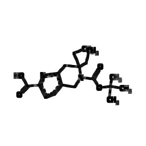 CCC1(CC)Cc2nc(C(=O)O)ccc2CN1C(=O)OC(C)(C)C